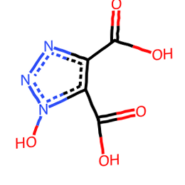 O=C(O)c1nnn(O)c1C(=O)O